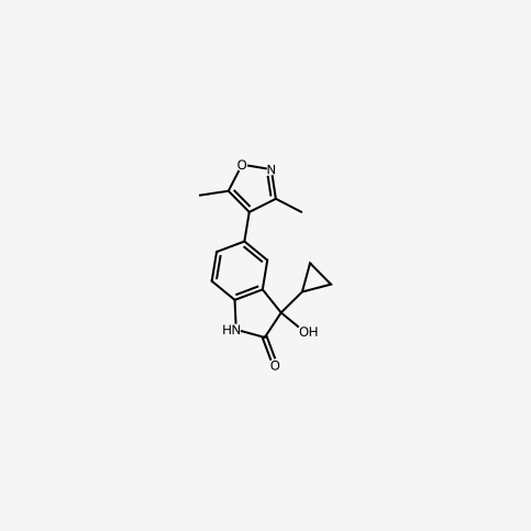 Cc1noc(C)c1-c1ccc2c(c1)C(O)(C1CC1)C(=O)N2